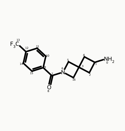 NC1CC2(C1)CN(C(=O)c1ccc(C(F)(F)F)cc1)C2